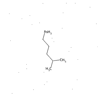 CC(C)CCC[AsH2]